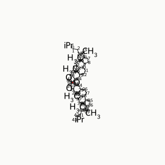 CC(C)CCC[C@@H](C)[C@H]1CCC2C3CC=C4CC5(OC67CCOC6C[C@@]6(C)C(=CCC8C6CC[C@@]6(C)C8CC[C@@H]6[C@H](C)CCCC(C)C)C7)CCOC5C[C@]4(C)C3CC[C@@]21C